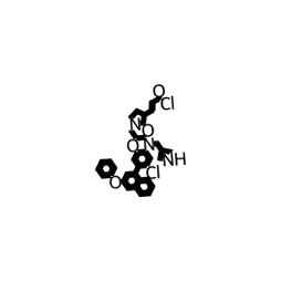 O=C(Cl)/C=C/C1CCN(CC2Oc3cc(-c4cc(Oc5ccccc5)cc5ccccc45)c(Cl)cc3N(CC3CNC3)C2=O)C1